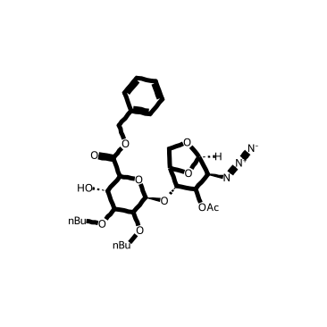 CCCCOC1C(OCCCC)[C@H](O)C(C(=O)OCc2ccccc2)O[C@H]1O[C@@H]1C2CO[C@H](O2)[C@@H](N=[N+]=[N-])C1OC(C)=O